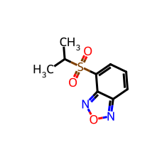 CC(C)S(=O)(=O)c1cccc2nonc12